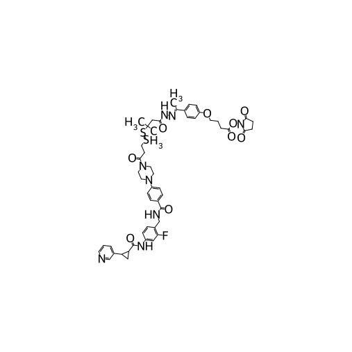 C/C(=N\NC(=O)CC(C)(C)SSCCC(=O)N1CCN(c2ccc(C(=O)NCc3ccc(NC(=O)C4CC4c4cccnc4)cc3F)cc2)CC1)c1ccc(OCCCC(=O)ON2C(=O)CCC2=O)cc1